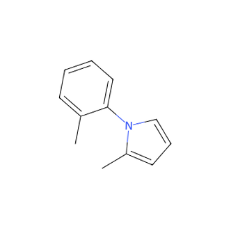 Cc1ccccc1-n1cccc1C